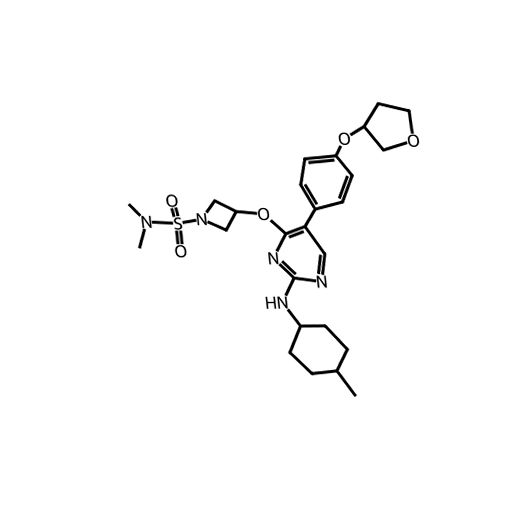 CC1CCC(Nc2ncc(-c3ccc(OC4CCOC4)cc3)c(OC3CN(S(=O)(=O)N(C)C)C3)n2)CC1